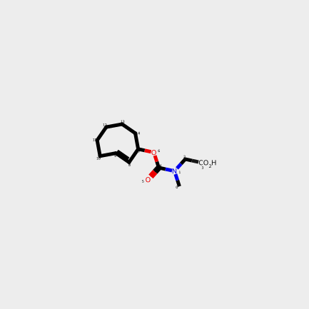 CN(CC(=O)O)C(=O)OC1/C=C/CCCCC1